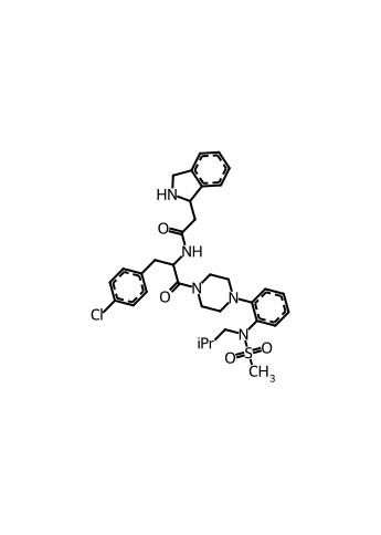 CC(C)CN(c1ccccc1N1CCN(C(=O)C(Cc2ccc(Cl)cc2)NC(=O)CC2NCc3ccccc32)CC1)S(C)(=O)=O